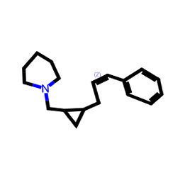 C(=C/c1ccccc1)/CC1CC1CN1CCCCC1